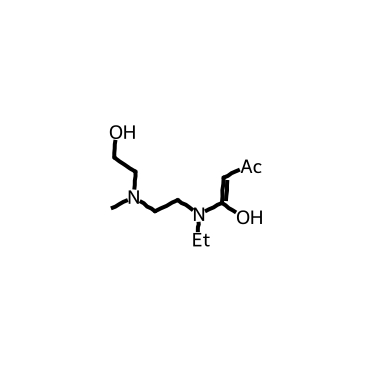 CCN(CCN(C)CCO)/C(O)=C/C(C)=O